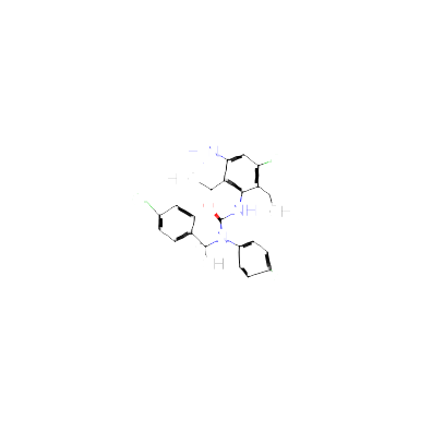 CCc1c(N)cc(Cl)c(CC)c1NC(=O)N(c1ccc(Cl)cc1)[C@@H](C)c1ccc(Cl)cc1